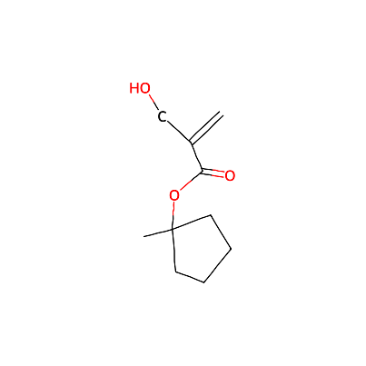 C=C(CO)C(=O)OC1(C)CCCC1